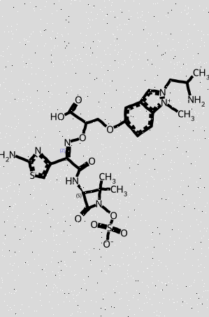 CC(N)Cn1cc2cc(OCC(O/N=C(\C(=O)N[C@@H]3C(=O)N(OS(=O)(=O)[O-])C3(C)C)c3csc(N)n3)C(=O)O)ccc2[n+]1C